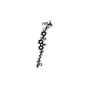 C=CC(=O)OCCCCCCOc1ccc2c(c1)C(C)c1cc(SC(=O)c3ccc(OCCOC(O)C(=C)F)cc3)ccc1-2